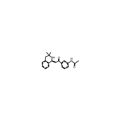 CC(=O)Nc1cccc(C(=O)C=C2NC(C)(C)Cc3ccccc32)c1